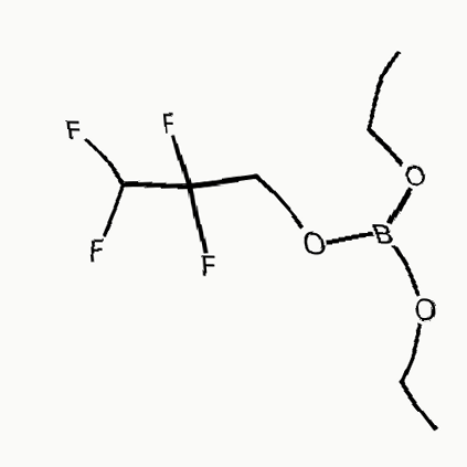 CCOB(OCC)OCC(F)(F)C(F)F